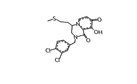 CSCCC1CN(Cc2ccc(Cl)c(Cl)c2)C(=O)c2c(O)c(=O)ccn21